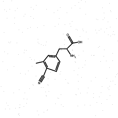 Cc1cc(CC(N)C(=O)O)ccc1C#N